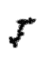 c1ccc(-n2c3ccccc3c3c(-c4ccc5oc6cc(N(c7ccc8c(c7)oc7cc(-c9cccc(-n%10c%11ccccc%11c%11cc(-c%12ccc%13oc%14cc(N(c%15ccc%16c(c%15)oc%15ccccc%15%16)c%15cc%16ccccc%16c%16ccccc%15%16)ccc%14c%13c%12)ccc%11%10)c9)ccc78)c7cc8ccccc8c8ccccc78)ccc6c5c4)cccc32)cc1